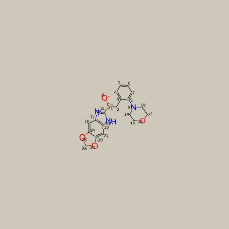 [O-][S+](Cc1ccccc1N1CCOCC1)c1nc2cc3c(cc2[nH]1)OCO3